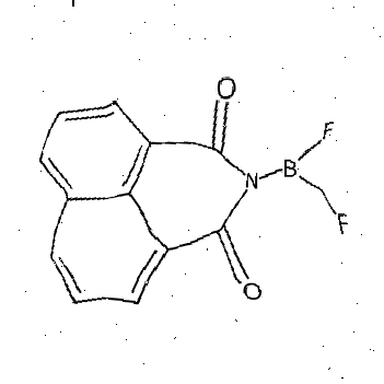 O=C1c2cccc3cccc(c23)C(=O)N1B(F)F